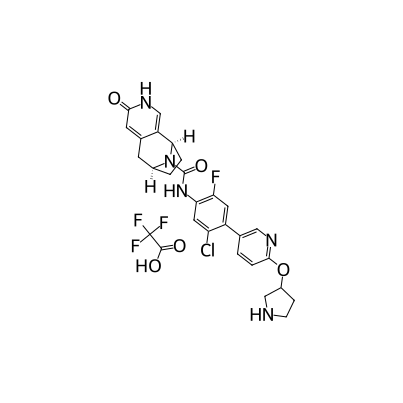 O=C(Nc1cc(Cl)c(-c2ccc(OC3CCNC3)nc2)cc1F)N1[C@H]2CC[C@@H]1c1c[nH]c(=O)cc1C2.O=C(O)C(F)(F)F